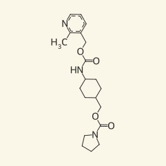 Cc1ncccc1COC(=O)NC1CCC(COC(=O)N2CCCC2)CC1